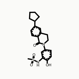 CS(=O)(=O)Nc1cc(N2CCc3cc(C4CCCC4)ccc3C2=O)ccc1O